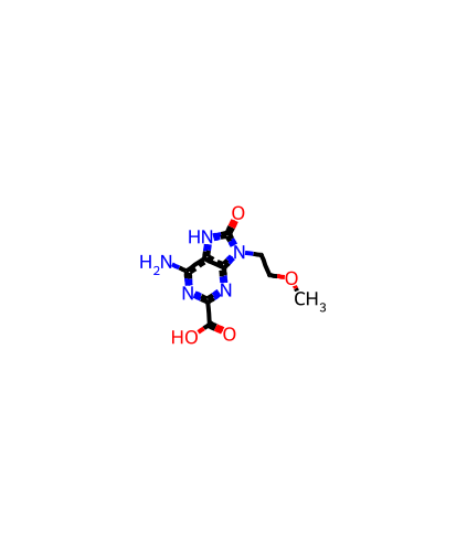 COCCn1c(=O)[nH]c2c(N)nc(C(=O)O)nc21